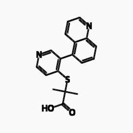 CC(C)(Sc1ccncc1-c1cccc2ncccc12)C(=O)O